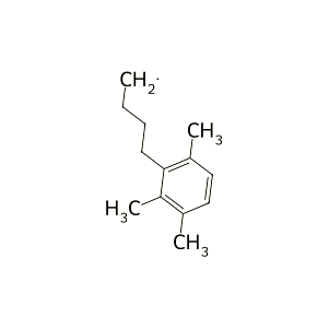 [CH2]CCCc1c(C)ccc(C)c1C